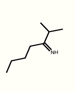 CCCCC(=N)C(C)C